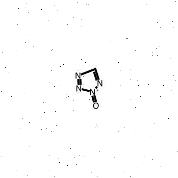 O=[N+]1N=CN=N1